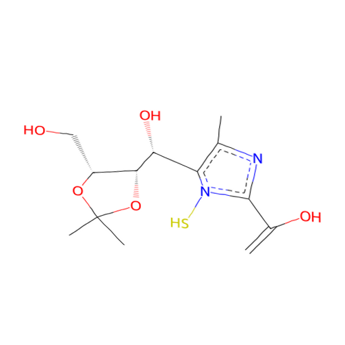 C=C(O)c1nc(C)c([C@@H](O)[C@@H]2OC(C)(C)O[C@@H]2CO)n1S